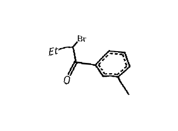 CCC(Br)C(=O)c1cccc(C)c1